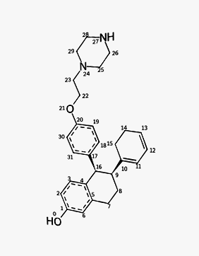 Oc1ccc2c(c1)CC[C@H](C1=CC=CCC1)[C@@H]2c1ccc(OCCN2CCNCC2)cc1